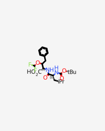 CC(C)C[C@H](NC(=O)OC(C)(C)C)C(=O)N[C@H](C(=O)O)C(Cc1ccccc1)OC(F)F